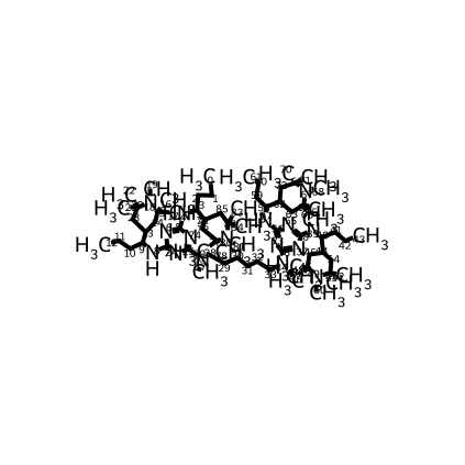 CCCC(Nc1nc(NC(CCC)C2CC(C)(C)N(C)C(C)(C)C2)nc(N(C)CCCCCCN(C)c2nc(NC(CCC)C3CC(C)(C)N(C)C(C)(C)C3)nc(NC(CCC)C3CC(C)(C)N(C)C(C)(C)C3)n2)n1)C1CC(C)(C)N(C)C(C)(C)C1